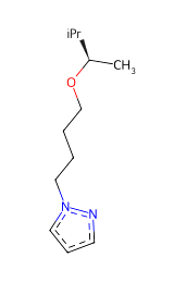 CC(C)[C@@H](C)OCCCCn1cccn1